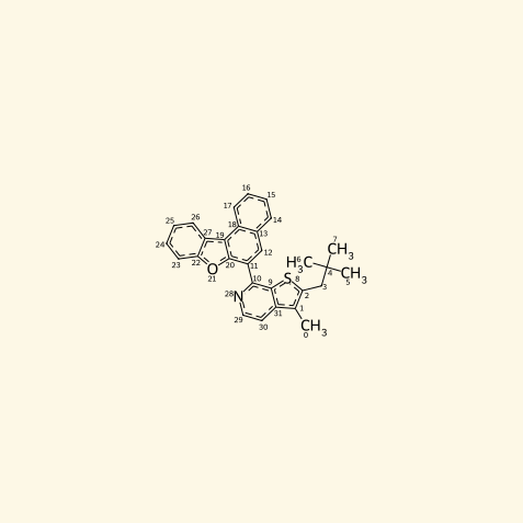 Cc1c(CC(C)(C)C)sc2c(-c3cc4ccccc4c4c3oc3ccccc34)nccc12